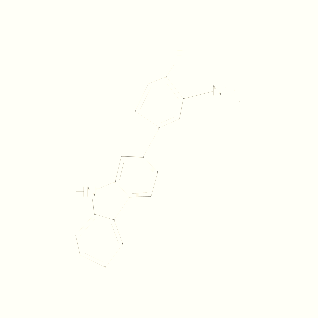 O=[N+]([O-])c1cc(-c2ccc3c(c2)[nH]c2ccccc23)ccc1F